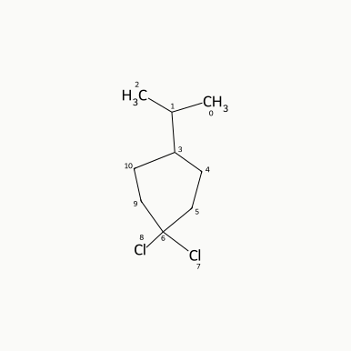 CC(C)C1CCC(Cl)(Cl)CC1